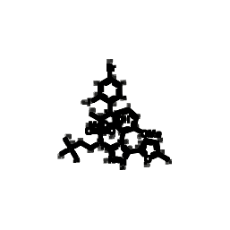 COc1cccc(OC)c1-n1c(-c2ccc(C)o2)nnc1N(CC[Si](C)(C)C)S(=O)(=O)C(C)C(O)c1ccc(Br)cc1F